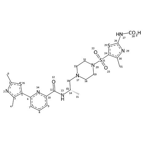 Cc1nc(C)c(-c2cccc(C(=O)N[C@@H](C)CN3CCN(S(=O)(=O)c4sc(NC(=O)O)nc4C)CC3)n2)s1